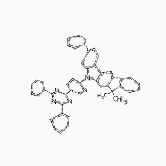 CC1(C)c2ccccc2-c2cc3c4ccc(-c5ccccc5)cc4n(-c4ccc(-c5nc(-c6ccccc6)nc(-c6ccccc6)n5)cn4)c3cc21